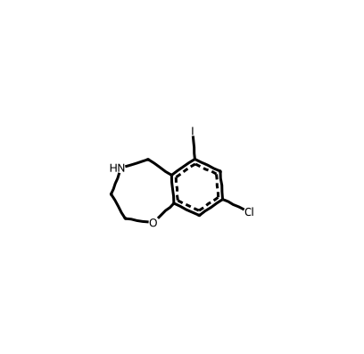 Clc1cc(I)c2c(c1)OCCNC2